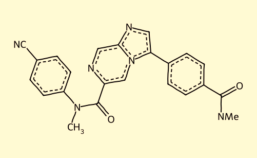 CNC(=O)c1ccc(-c2cnc3cnc(C(=O)N(C)c4ccc(C#N)cc4)cn23)cc1